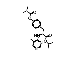 CC(C)OC(=O)[C@H](Cc1ccc(OC(=O)N(C)C)cc1)Nc1ncncc1I